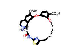 COc1cc2c3cc1Oc1ccc(C(=O)O)c(c1)OCCCCCCc1csc(n1)NC(=O)C[C@@]3(C)NCC2